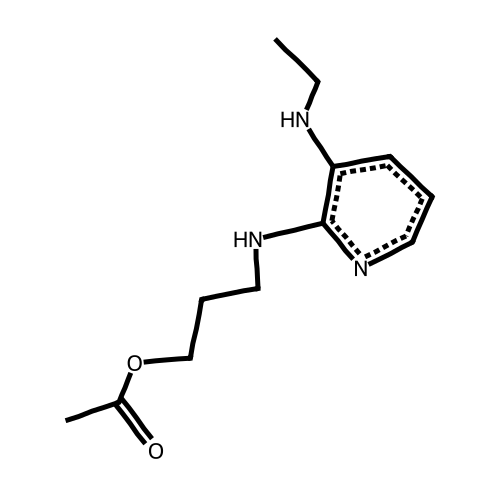 CCNc1cccnc1NCCCOC(C)=O